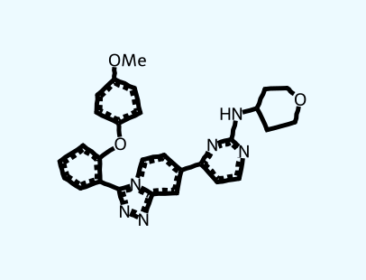 COc1ccc(Oc2ccccc2-c2nnc3cc(-c4ccnc(NC5CCOCC5)n4)ccn23)cc1